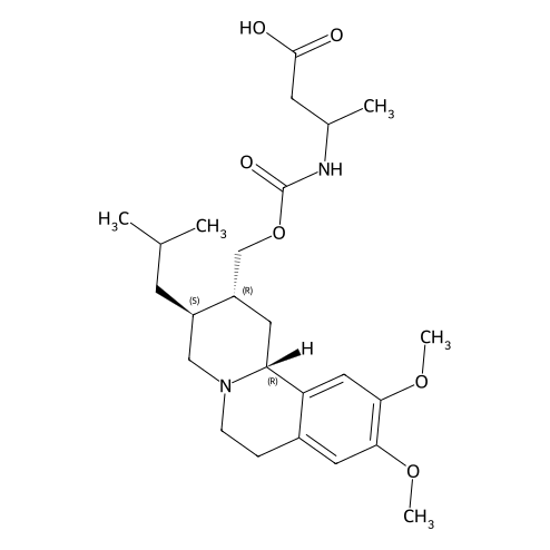 COc1cc2c(cc1OC)[C@H]1C[C@@H](COC(=O)NC(C)CC(=O)O)[C@H](CC(C)C)CN1CC2